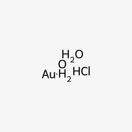 Cl.O.O.[Au]